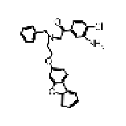 Nc1cc(C(=O)CN(CCOc2ccc3c(c2)oc2ccccc23)Cc2ccccc2)ccc1Cl